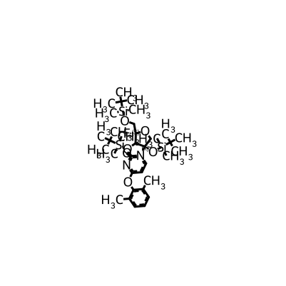 Cc1cccc(C)c1Oc1ccn([C@@]2(O[Si](C)(C)C(C)(C)C)CO[C@](F)(CO[Si](C)(C)C(C)(C)C)C2O[Si](C)(C)C(C)(C)C)c(=O)n1